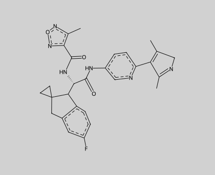 CC1=NCC(C)=C1c1ccc(NC(=O)[C@@H](NC(=O)c2nonc2C)C2c3ccc(F)cc3CC23CC3)cn1